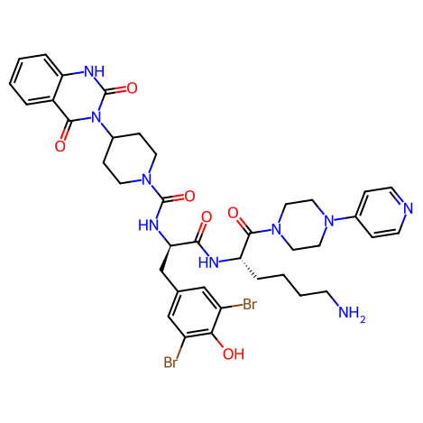 NCCCC[C@H](NC(=O)[C@@H](Cc1cc(Br)c(O)c(Br)c1)NC(=O)N1CCC(n2c(=O)[nH]c3ccccc3c2=O)CC1)C(=O)N1CCN(c2ccncc2)CC1